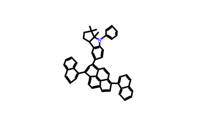 CC1(C)CCC2c3cc(-c4cc(-c5cccc6ccccc56)c5ccc6ccc(-c7cccc8ccccc78)c7ccc4c5c67)ccc3N(c3ccccc3)C21C